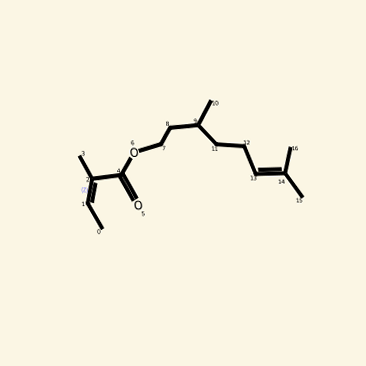 C/C=C(/C)C(=O)OCCC(C)CCC=C(C)C